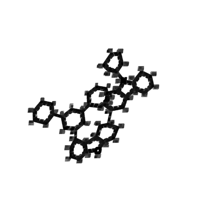 c1ccc(-c2cc(-c3ccccc3)cc(-c3cccc4oc5ccc(-c6ccc7c(c6)c6ccccc6n7-c6ccccc6)cc5c34)c2)cc1